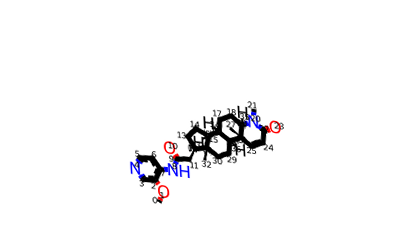 COc1cnccc1NC(=O)C[C@H]1CC[C@H]2[C@@H]3CC[C@H]4N(C)C(=O)C=C[C@]4(C)[C@H]3CC[C@]12C